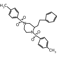 Cc1ccc(S(=O)(=O)N2CCN(S(=O)(=O)c3ccc(C)cc3)C(CCc3ccccc3)C2)cc1